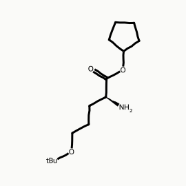 CC(C)(C)OCCC[C@H](N)C(=O)OC1CCCC1